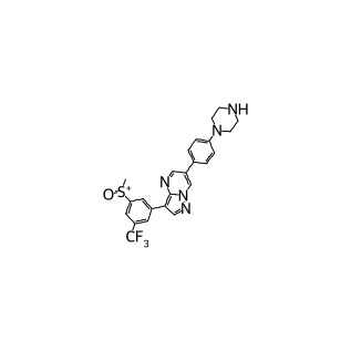 C[S+]([O-])c1cc(-c2cnn3cc(-c4ccc(N5CCNCC5)cc4)cnc23)cc(C(F)(F)F)c1